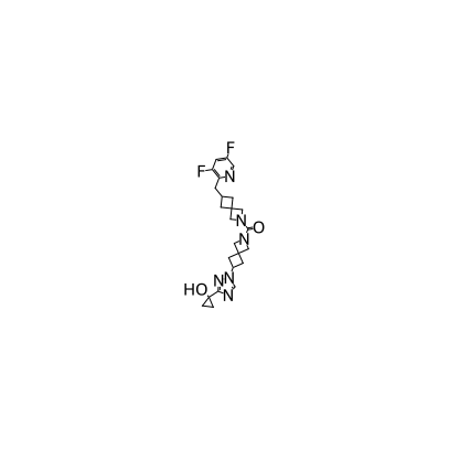 O=C(N1CC2(CC(Cc3ncc(F)cc3F)C2)C1)N1CC2(CC(n3cnc(C4(O)CC4)n3)C2)C1